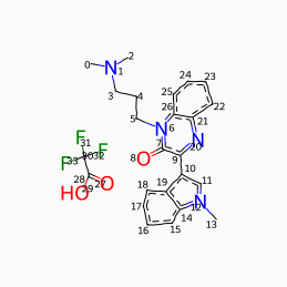 CN(C)CCCn1c(=O)c(-c2cn(C)c3ccccc23)nc2ccccc21.O=C(O)C(F)(F)F